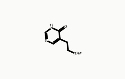 CSCCc1cnc[nH]c1=O